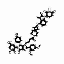 COc1ncc(-c2nc3c(n2CCCC(=O)N2CCC4(CC2)CC(Oc2cccc5c2n(C)c(=O)n5C2CCC(=O)NC2=O)C4)[C@@H](c2ccc(Cl)cc2)N(c2cc(Cl)cn(C)c2=O)C3=O)c(OC)n1